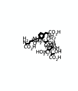 CC(O)C(N)C(=O)O.NC(=O)CC(N)C(=O)O.NC(=O)CCC(N)C(=O)O.NC(CO)C(=O)O.NC(Cc1ccc(O)cc1)C(=O)O